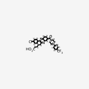 O=C(O)CCCCc1nc2cc(C(=O)N3CCN(c4ccc(C(F)(F)F)cn4)CC3)ccc2nc1-c1ccc(Cl)cc1